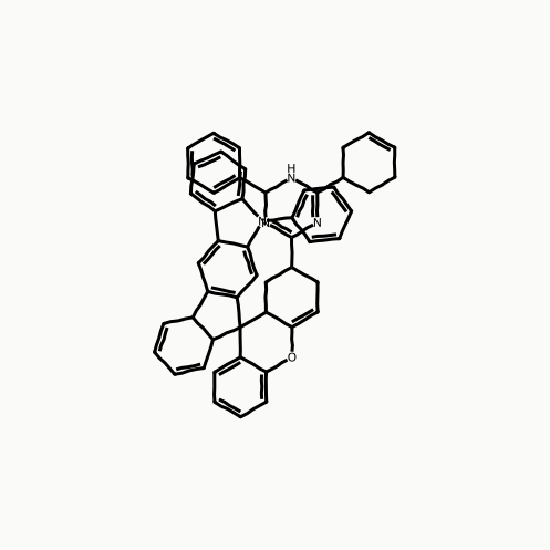 C1=CC2c3cc4c5ccccc5n(-c5ccccc5)c4cc3C3(c4ccccc4OC4=CCC(C5=NC(c6ccccc6)NC(C6CC=CCC6)=N5)CC43)C2C=C1